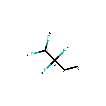 C[CH]C(F)(F)[C](F)F